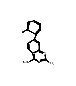 CNc1nc(N)nc2cc(-c3ccccc3C)ccc12